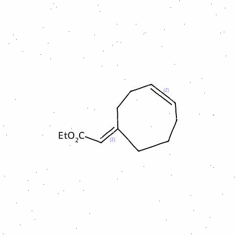 CCOC(=O)/C=C1\CC/C=C\CCC1